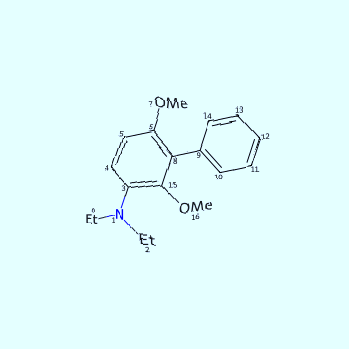 CCN(CC)c1ccc(OC)c(-c2ccccc2)c1OC